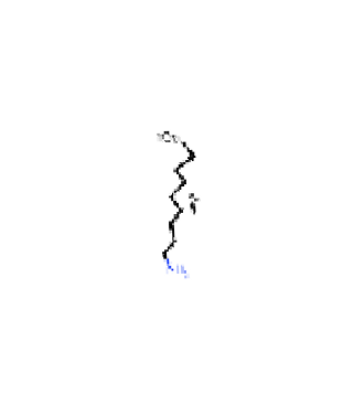 CC(C)=O.CCCCCCCCCCCCCCCCN